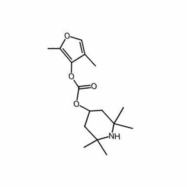 Cc1coc(C)c1OC(=O)OC1CC(C)(C)NC(C)(C)C1